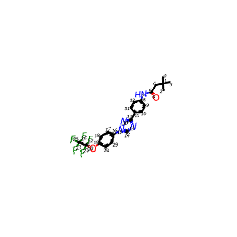 CC(C)(C)CC(=O)Nc1ccc(-c2ncn(-c3ccc(OC(F)(F)C(F)(F)F)cc3)n2)cc1